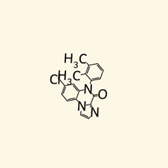 Cc1cccc(-n2c(=O)c3nccn3c3ccc(Cl)cc32)c1C